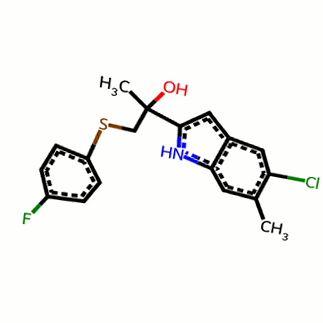 Cc1cc2[nH]c(C(C)(O)CSc3ccc(F)cc3)cc2cc1Cl